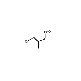 CC(=CCl)OC=O